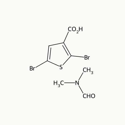 CN(C)C=O.O=C(O)c1cc(Br)sc1Br